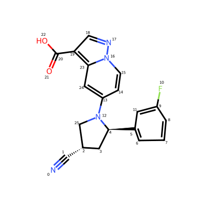 N#C[C@H]1C[C@H](c2cccc(F)c2)N(c2ccn3ncc(C(=O)O)c3c2)C1